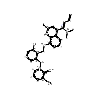 C=C/C=C(/c1cc(C)nc2c(OCc3c(Cl)cncc3Cn3cccc(N)c3=O)cccc12)N(C)C